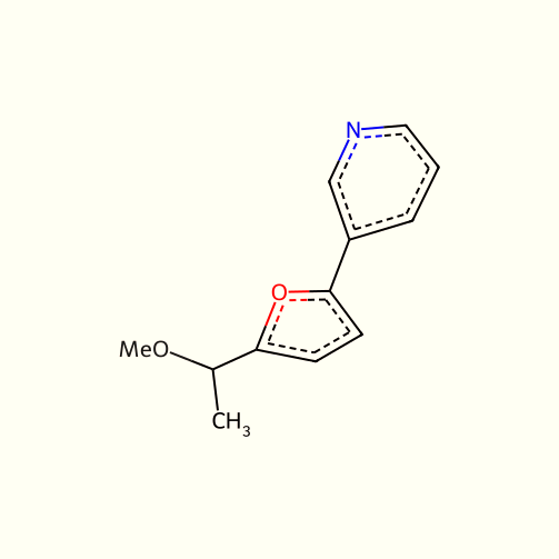 COC(C)c1ccc(-c2cccnc2)o1